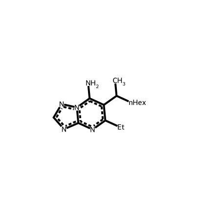 CCCCCCC(C)c1c(CC)nc2ncnn2c1N